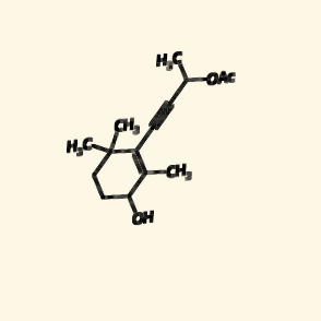 CC(=O)OC(C)C#CC1=C(C)C(O)CCC1(C)C